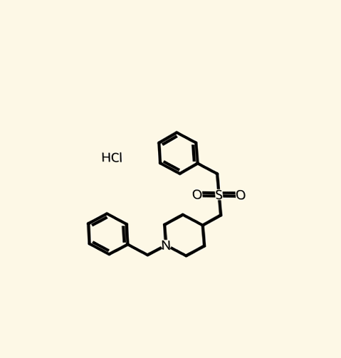 Cl.O=S(=O)(Cc1ccccc1)CC1CCN(Cc2ccccc2)CC1